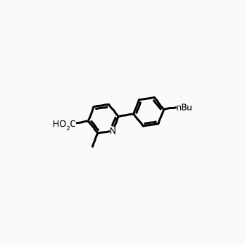 CCCCc1ccc(-c2ccc(C(=O)O)c(C)n2)cc1